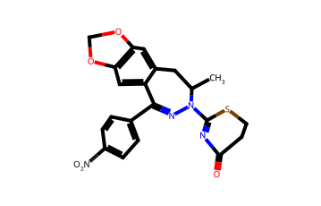 CC1Cc2cc3c(cc2C(c2ccc([N+](=O)[O-])cc2)=NN1C1=NC(=O)CCS1)OCO3